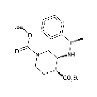 CCOC(=O)[C@H]1CCN(C(=O)OC(C)(C)C)C[C@H]1N[C@H](C)c1ccccc1